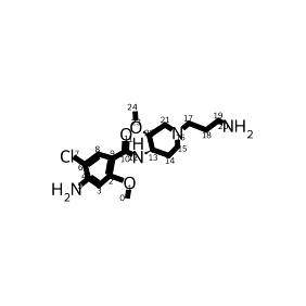 COc1cc(N)c(Cl)cc1C(=O)N[C@H]1CCN(CCCN)C[C@H]1OC